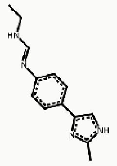 CCNC=Nc1ccc(-c2c[nH]c(C)n2)cc1